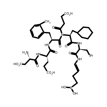 Cc1ccccc1C[C@H](NC(=O)[C@H](CCC(=O)O)NC(=O)[C@@H](N)CC(=O)O)C(=O)N(C(=O)CCC(=O)O)[C@@H](CC1CCCCC1)C(=O)N[C@@H](CC(C)C)C(=O)NC=CCCB(O)O